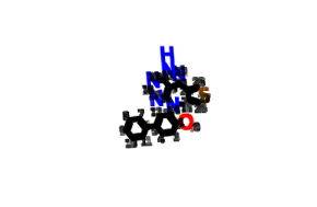 COc1ccc(-c2ccccc2)cc1N(C)c1ncnc2[nH]nc(-c3ccsc3)c12